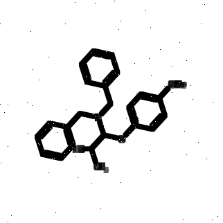 COc1ccc(OC(C(C)O)N(Cc2ccccc2)Cc2ccccc2)cc1